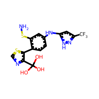 NSc1cc(Nc2cc(C(F)(F)F)n[nH]2)ccc1-c1scnc1C(O)(O)O